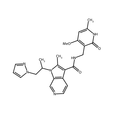 COc1cc(C)[nH]c(=O)c1CNC(=O)c1c(C)n(C(C)Cn2cccn2)c2cnccc12